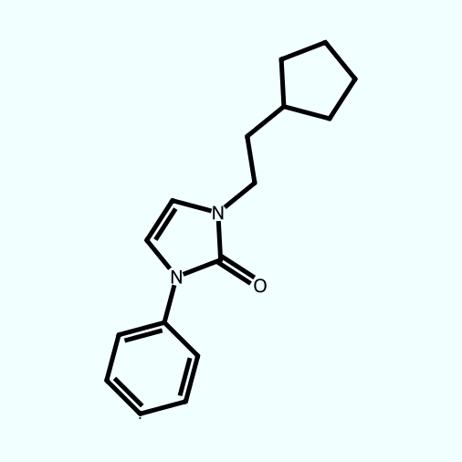 O=c1n(CCC2CCCC2)ccn1-c1cc[c]cc1